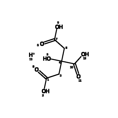 O=C(O)CC(O)(CC(=O)O)C(=O)O.[H+]